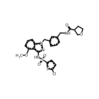 COc1cccc2c1c(NS(=O)(=O)c1ccc(Cl)s1)nn2Cc1cccc(CNC(=O)C2CCOC2)c1